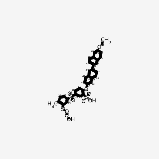 CCOc1ccc2cc(-c3ccc4cc(Oc5ccc(S(=O)(=O)c6ccc(C)c(SOOO)c6)cc5S(=O)(=O)O)ccc4c3)ccc2c1